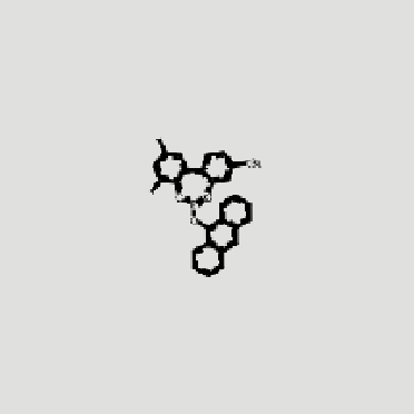 Cc1cc(C)c2op(Oc3c4ccccc4cc4ccccc34)oc3cc(C(C)(C)C)ccc3c2c1